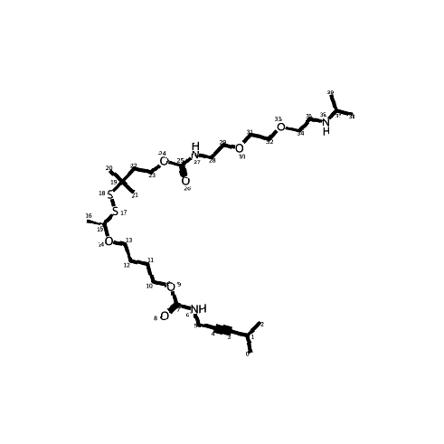 CC(C)C#CCNC(=O)OCCCCO[C@@H](C)SSC(C)(C)CCOC(=O)NCCOCCOCCNC(C)C